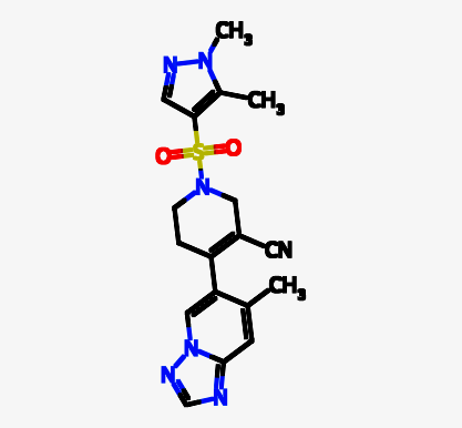 Cc1cc2ncnn2cc1C1=C(C#N)CN(S(=O)(=O)c2cnn(C)c2C)CC1